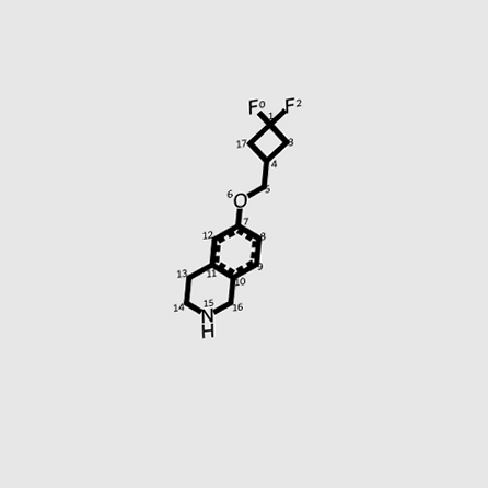 FC1(F)CC(COc2ccc3c(c2)CCNC3)C1